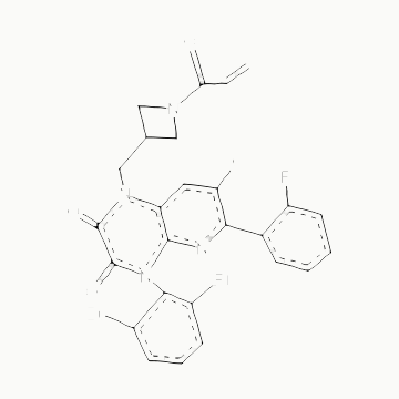 C=CC(=O)N1CC(Cn2c(=O)c(=O)n(-c3c(CC)cccc3CC)c3nc(-c4ccccc4F)c(Cl)cc32)C1